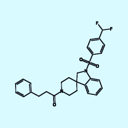 O=C(CCc1ccccc1)N1CCC2(CC1)CN(S(=O)(=O)c1ccc(C(F)F)cc1)c1ccccc12